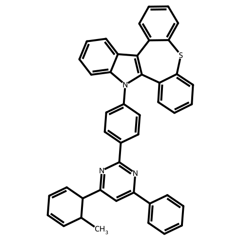 CC1C=CC=CC1c1cc(-c2ccccc2)nc(-c2ccc(-n3c4c(c5ccccc53)-c3ccccc3Sc3ccccc3-4)cc2)n1